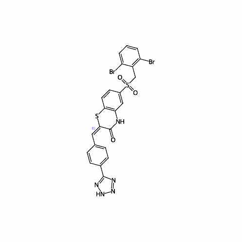 O=C1Nc2cc(S(=O)(=O)Cc3c(Br)cccc3Br)ccc2S/C1=C/c1ccc(-c2nn[nH]n2)cc1